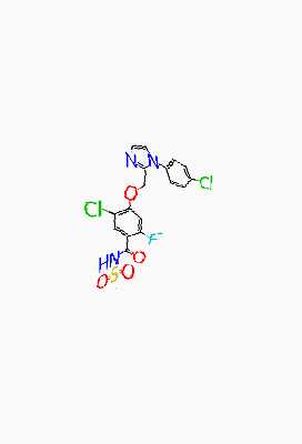 CS(=O)(=O)NC(=O)c1cc(Cl)c(OCc2nccn2-c2ccc(Cl)cc2)cc1F